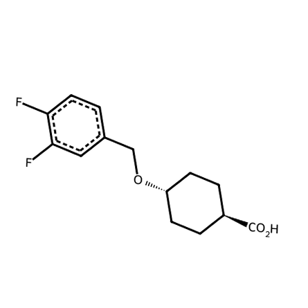 O=C(O)[C@H]1CC[C@H](OCc2ccc(F)c(F)c2)CC1